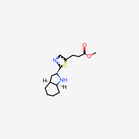 COC(=O)CCc1cnc([C@@H]2C[C@@H]3CCCC[C@@H]3N2)s1